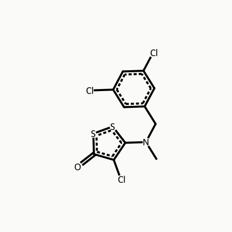 CN(Cc1cc(Cl)cc(Cl)c1)c1ssc(=O)c1Cl